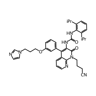 CC(C)c1cccc(C(C)C)c1NC(=O)Nc1c(-c2cccc(OCCCn3ccnc3)c2)c2cccnc2n(CCCC#N)c1=O